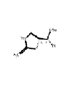 C=C1C[C@@H]([C@@H](CC)OC)CN1